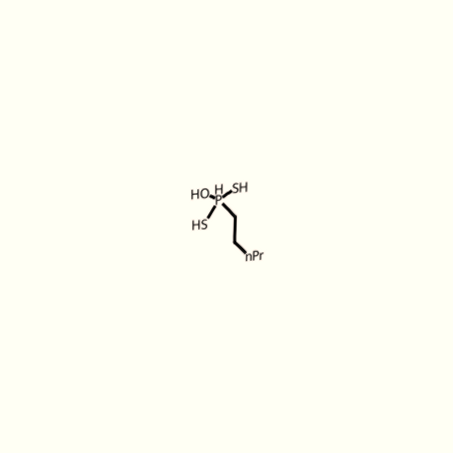 CCCCC[PH](O)(S)S